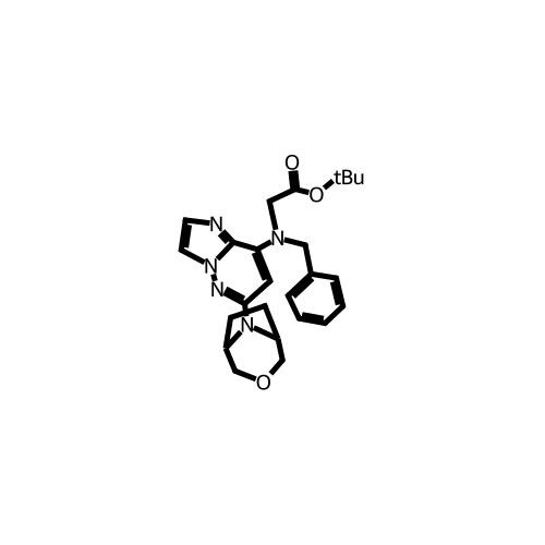 CC(C)(C)OC(=O)CN(Cc1ccccc1)c1cc(N2C3CCC2COC3)nn2ccnc12